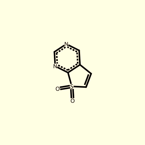 O=S1(=O)C=Cc2cncnc21